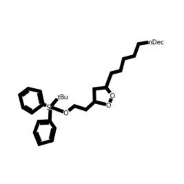 CCCCCCCCCCCCCCCC1CC(CCO[Si](c2ccccc2)(c2ccccc2)C(C)(C)C)OO1